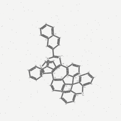 c1ccc(-c2nc(-c3ccc4ccccc4c3)nc(-c3cccc4c3-c3c(-c5cccnc5)cccc3C43c4ccccc4Oc4ccccc43)n2)cc1